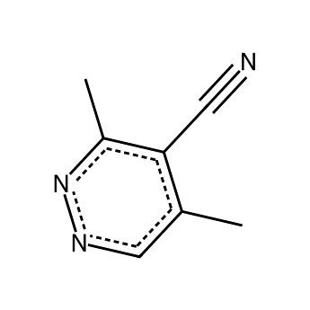 Cc1cnnc(C)c1C#N